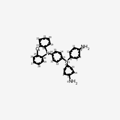 Nc1ccc(N(c2ccc(N)cc2)c2ccc(N3c4ccccc4Oc4ccccc43)cc2)cc1